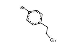 O[CH]Cc1ccc(Br)cc1